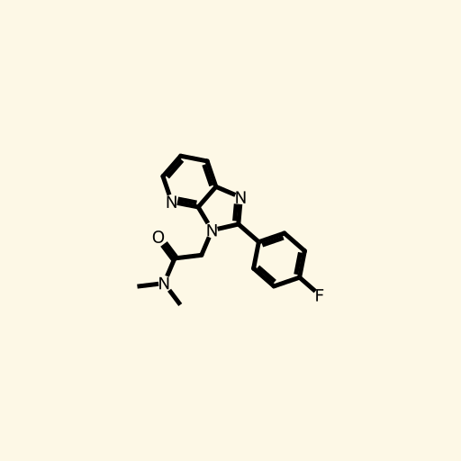 CN(C)C(=O)Cn1c(-c2ccc(F)cc2)nc2cccnc21